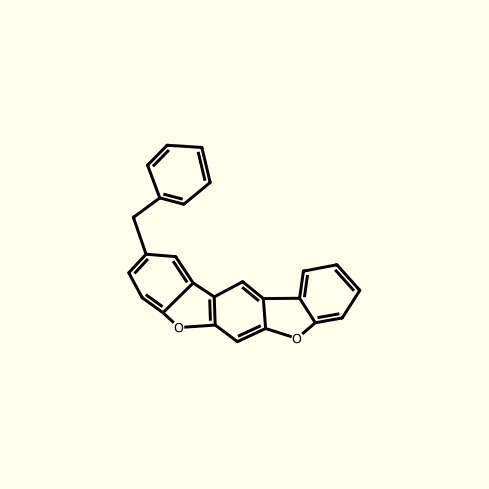 c1ccc(Cc2ccc3oc4cc5oc6ccccc6c5cc4c3c2)cc1